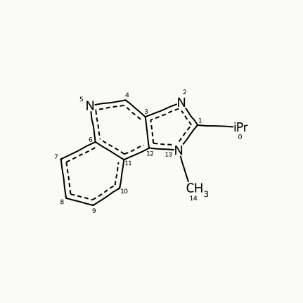 CC(C)c1nc2cnc3ccccc3c2n1C